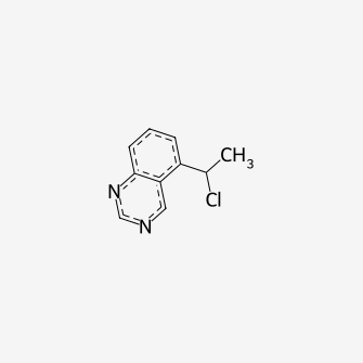 CC(Cl)c1cccc2ncncc12